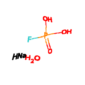 O.O=P(O)(O)F.[NaH]